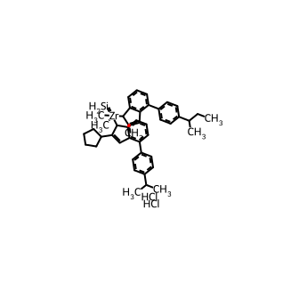 CCC(C)c1ccc(-c2cccc3c2C=C(C)[CH]3[Zr]([CH3])([CH3])(=[SiH2])[CH]2C(C3CCCC3)=Cc3c(-c4ccc(C(C)C)cc4)cccc32)cc1.Cl.Cl